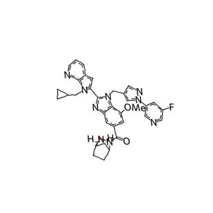 COc1cc(C(=O)N2CC3CCC2[C@@H]3N)cc2nc(-c3cc4cccnc4n3CC3CC3)n(Cc3cnn(-c4cncc(F)c4)c3)c12